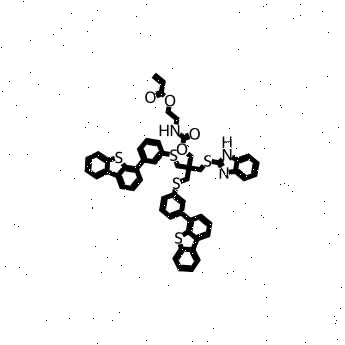 C=CC(=O)OCCNC(=O)OCC(CSc1cccc(-c2cccc3c2sc2ccccc23)c1)(CSc1cccc(-c2cccc3c2sc2ccccc23)c1)CSc1nc2ccccc2[nH]1